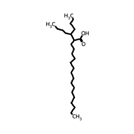 CCCCCCCCCCCCCCCCC([C](CCCC)CCCC)C(=O)O